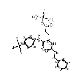 CC(C)(C)OC(=O)CC[C@H](NC(=O)OCc1ccccc1)C(=O)Nc1ccc(C(F)(F)F)cc1